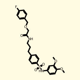 COc1ccc(NS(=O)(=O)c2ccc(CCCNC(=O)COCc3ccc(F)cc3)cc2)cc1OC